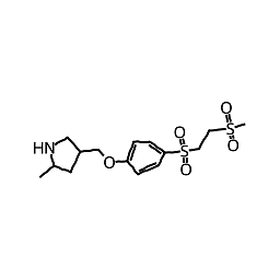 CC1CC(COc2ccc(S(=O)(=O)CCS(C)(=O)=O)cc2)CN1